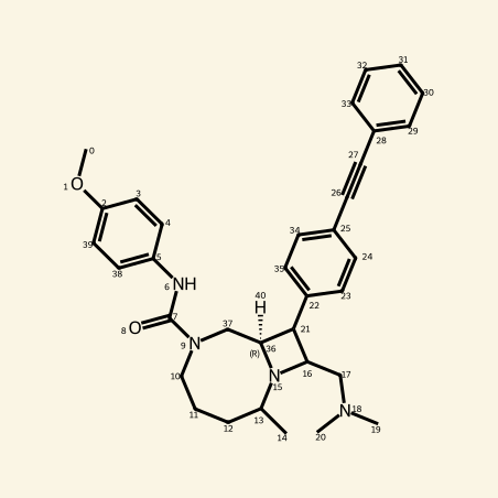 COc1ccc(NC(=O)N2CCCC(C)N3C(CN(C)C)C(c4ccc(C#Cc5ccccc5)cc4)[C@@H]3C2)cc1